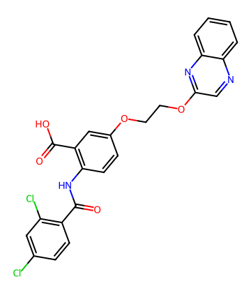 O=C(Nc1ccc(OCCOc2cnc3ccccc3n2)cc1C(=O)O)c1ccc(Cl)cc1Cl